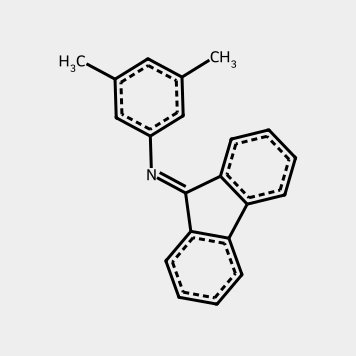 Cc1cc(C)cc(N=C2c3ccccc3-c3ccccc32)c1